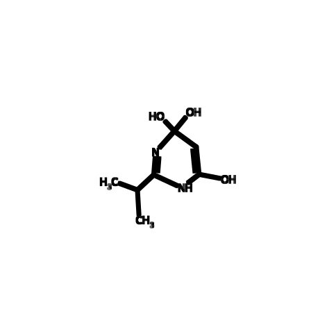 CC(C)C1=NC(O)(O)C=C(O)N1